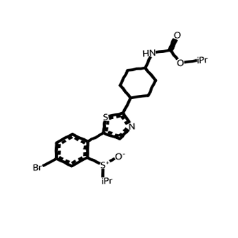 CC(C)OC(=O)NC1CCC(c2ncc(-c3ccc(Br)cc3[S+]([O-])C(C)C)s2)CC1